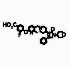 Cc1nc(Oc2ccc(C(=O)O)cc2F)ccc1CN1CCC(N2C(=O)N(C3CCOCC3)C[C@H]2c2ccccc2)CC1